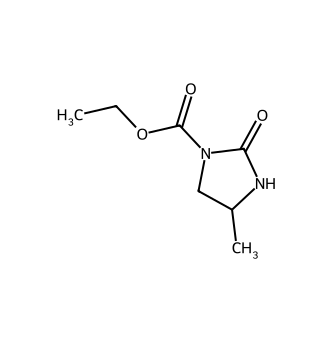 CCOC(=O)N1CC(C)NC1=O